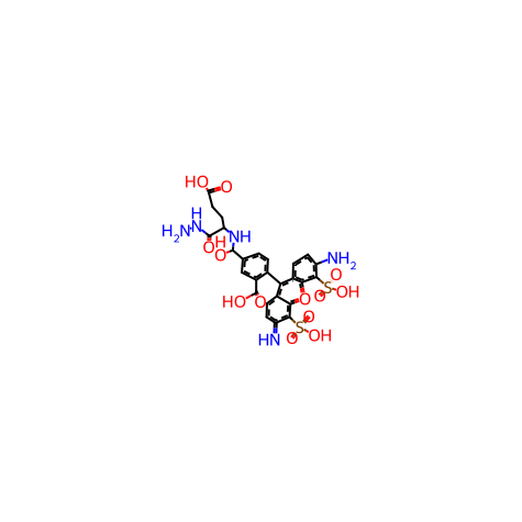 N=c1ccc2c(-c3ccc(C(O)NC(CCC(=O)O)C(=O)NN)cc3C(=O)O)c3ccc(N)c(S(=O)(=O)O)c3oc-2c1S(=O)(=O)O